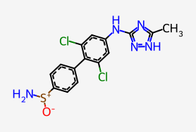 Cc1nc(Nc2cc(Cl)c(-c3ccc([S+](N)[O-])cc3)c(Cl)c2)n[nH]1